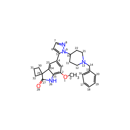 COc1cc(-c2ccnn2C2CCN(Cc3ccccc3)CC2)cc2c1NC(=O)C21CCC1